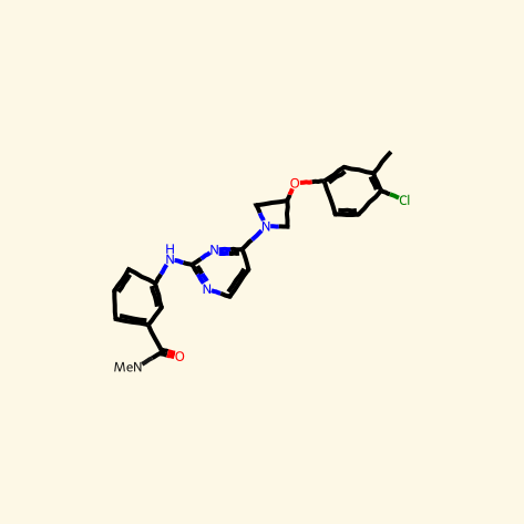 CNC(=O)c1cccc(Nc2nccc(N3CC(Oc4ccc(Cl)c(C)c4)C3)n2)c1